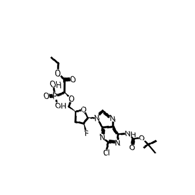 CCOC(=O)[C@@H](OC[C@@H]1C[C@H](F)[C@H](n2cnc3c(NC(=O)OC(C)(C)C)nc(Cl)nc32)O1)P(=O)(O)O